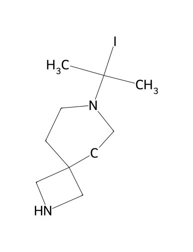 CC(C)(I)N1CCC2(CC1)CNC2